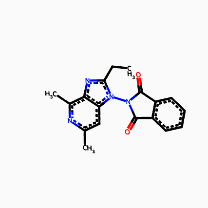 CCc1nc2c(C)nc(C)cc2n1N1C(=O)c2ccccc2C1=O